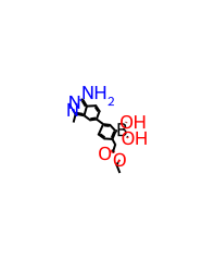 CCOC(=O)Cc1ccc(-c2ccc3c(N)nnc(C)c3c2)cc1B(O)O